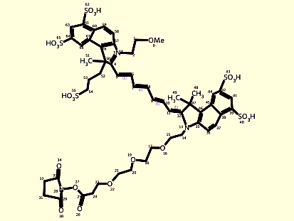 COCC[N+]1=C(/C=C/C=C/C=C/C=C2/N(CCOCCOCCOCCC(=O)ON3C(=O)CCC3=O)c3ccc4c(S(=O)(=O)O)cc(S(=O)(=O)O)cc4c3C2(C)C)C(C)(CCCS(=O)(=O)O)c2c1ccc1c(S(=O)(=O)O)cc(S(=O)(=O)O)cc21